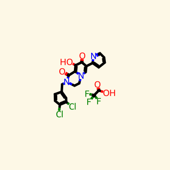 O=C(O)C(F)(F)F.O=C1c2c(O)c(=O)c(-c3ccccn3)cn2CCN1Cc1ccc(Cl)c(Cl)c1